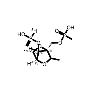 [3H]P(=C)(O)O[C@H]1[C@H]2OC(C)[C@]1(COP(C)(=O)O)O[C@H]2C